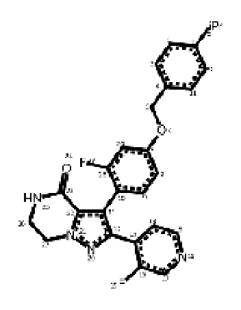 CC(C)c1ccc(COc2ccc(-c3c(-c4ccncc4F)nn4c3C(=O)NCC4)c(F)c2)cc1